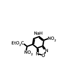 CCOC(=O)C(c1ccc([N+](=O)[O-])c2nonc12)[N+](=O)[O-].[NaH]